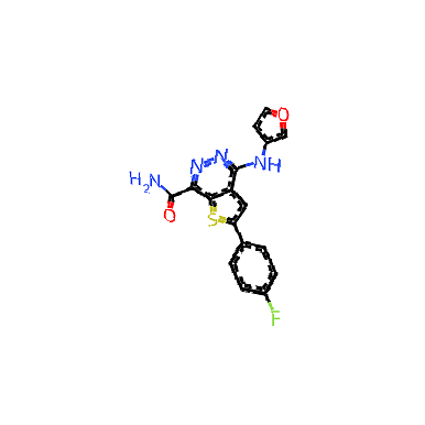 NC(=O)c1nnc(Nc2ccoc2)c2cc(-c3ccc(F)cc3)sc12